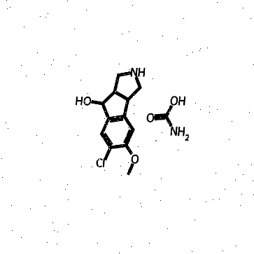 COc1cc2c(cc1Cl)C(O)C1CNCC21.NC(=O)O